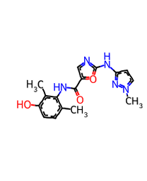 Cc1ccc(O)c(C)c1NC(=O)c1cnc(Nc2ccn(C)n2)o1